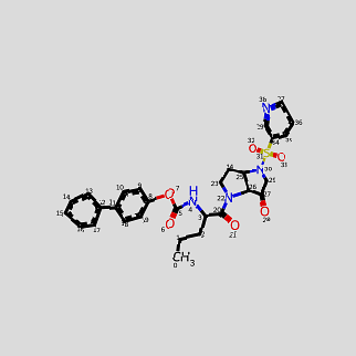 CCCC(NC(=O)Oc1ccc(-c2ccccc2)cc1)C(=O)N1CCC2C1C(=O)CN2S(=O)(=O)c1cccnc1